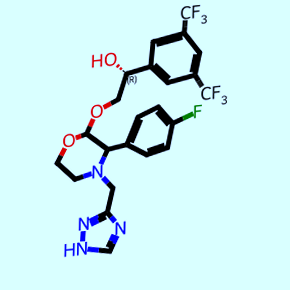 O[C@@H](COC1OCCN(Cc2nc[nH]n2)C1c1ccc(F)cc1)c1cc(C(F)(F)F)cc(C(F)(F)F)c1